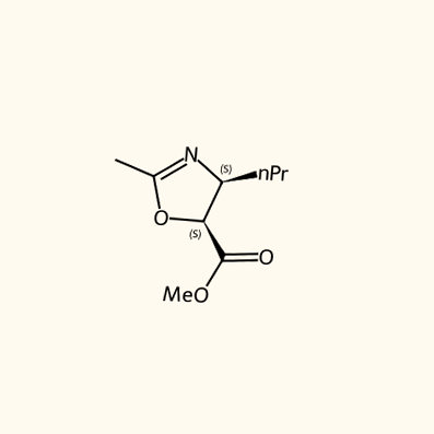 CCC[C@@H]1N=C(C)O[C@@H]1C(=O)OC